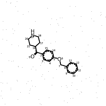 O=C(c1ccc(OCc2ccccc2)cc1)C1CCNCC1